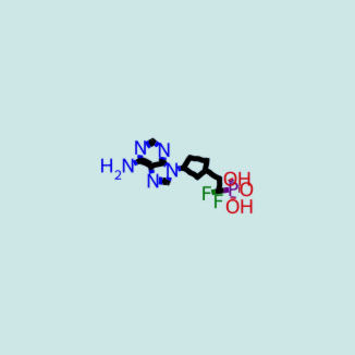 Nc1ncnc2c1ncn2C1CCC(CC(F)(F)P(=O)(O)O)C1